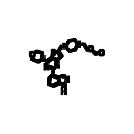 O=COCCN1CCN(Cc2cc3nc(-c4cccc5[nH]ncc45)nc(N4CCOCC4)c3s2)CC1